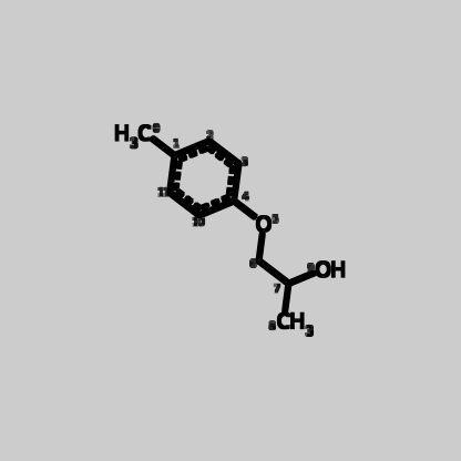 Cc1ccc(OCC(C)O)cc1